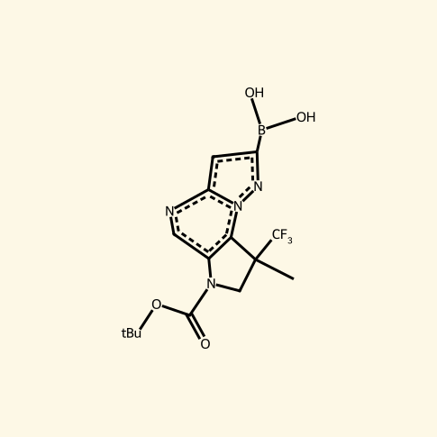 CC(C)(C)OC(=O)N1CC(C)(C(F)(F)F)c2c1cnc1cc(B(O)O)nn21